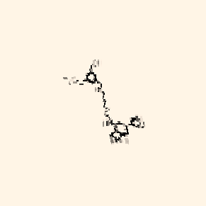 OCc1cc(CNCCCCOCCNc2cc(-c3cnoc3)cc3[nH]ncc23)cc(OC(F)(F)F)c1